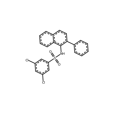 O=S(=O)(Nc1c(-c2ccccc2)ccc2ccccc12)c1cc(Cl)cc(Cl)c1